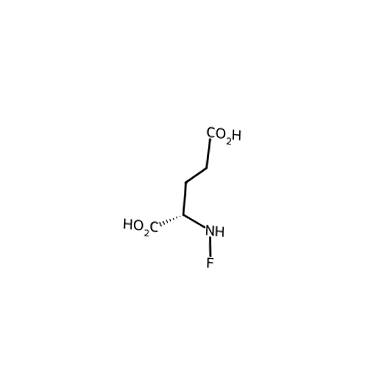 O=C(O)CC[C@H](NF)C(=O)O